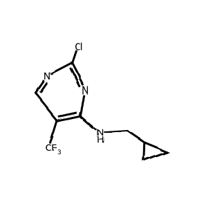 FC(F)(F)c1cnc(Cl)nc1NCC1CC1